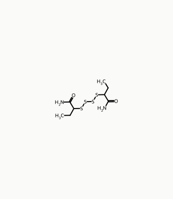 CCC(SSSSC(CC)C(N)=O)C(N)=O